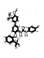 COc1ccc(-c2ccc(Oc3ccccc3C(C)(C)C)c(NC(=O)Nc3ccc(C)cc3)c2)cc1[N+](=O)[O-]